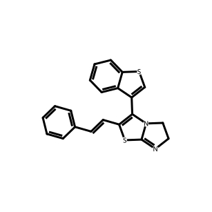 C(=Cc1ccccc1)C1=C(c2csc3ccccc23)N2CCN=C2S1